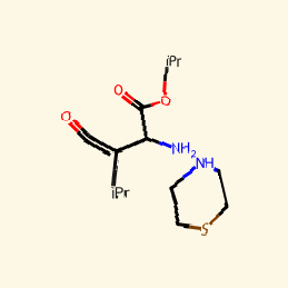 C1CSCCN1.CC(C)OC(=O)C(N)C(=C=O)C(C)C